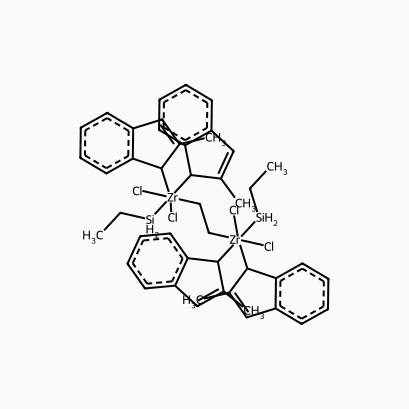 CC[SiH2][Zr]([Cl])([Cl])([CH2][CH2][Zr]([Cl])([Cl])([SiH2]CC)([CH]1C(C)=Cc2ccccc21)[CH]1C(C)=Cc2ccccc21)([CH]1C(C)=Cc2ccccc21)[CH]1C(C)=Cc2ccccc21